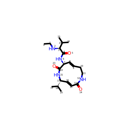 CCN[C@H](C(=O)N[C@H]1/C=C/CCNC(=O)/C=C/[C@H](C(C)C)NC1=O)C(C)C